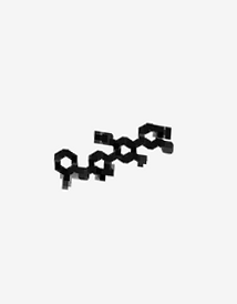 O=c1cc(-c2cc(O)c(-c3ccc(O[C@@H]4CCCC[C@@H]4F)nn3)cc2F)cc[nH]1